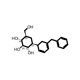 OC[C@H]1C[C@@H](C2C=CC=C(Cc3ccccc3)C2)[C@H](O)[C@@H](O)[C@@H]1O